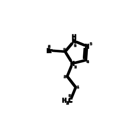 CCCN1C=NNC1Br